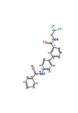 O=C(NCC(F)F)c1cccc(-c2ccc(NC(=O)c3ccccc3)nc2)c1